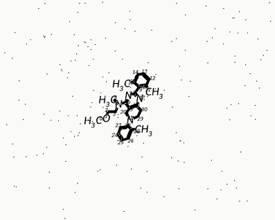 COCCN(C)c1nc(-c2c(C)cccc2C)nc2c1CN(c1ccccc1C)CC2